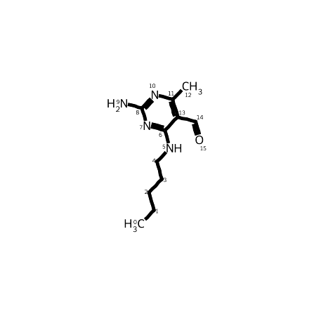 CCCCCNc1nc(N)nc(C)c1C=O